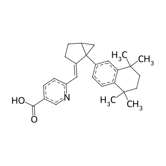 CC1(C)CCC(C)(C)c2cc(C34CC3CC/C4=C\c3ccc(C(=O)O)cn3)ccc21